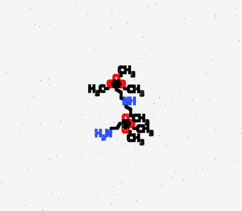 CCO[Si](CCCNCCC(C)O[Si](CCCN)(OCC)OCC)(OCC)OCC